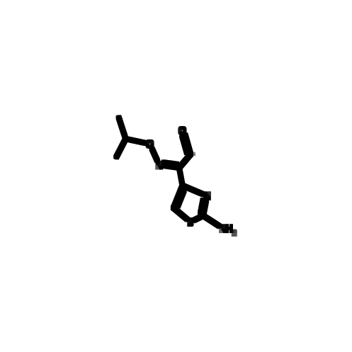 CC(C)ON=C([C]=O)c1csc(N)n1